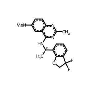 CNc1ccc2nc(C)nc(N[C@H](C)c3cccc4c3OCC4(F)F)c2c1